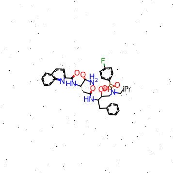 CC(C)CN(CC(O)C(Cc1ccccc1)NC(=O)C[C@H](NC(=O)c1ccc2ccccc2n1)C(N)=O)S(=O)(=O)c1ccc(F)cc1